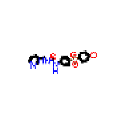 COc1ccc(S(=O)(=O)c2ccc(NC(=O)NCc3cccnc3)cc2)cc1